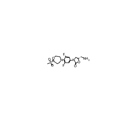 CS(=O)(=O)N1CCN(c2c(F)cc(N3C[C@H](CN)OC3=O)cc2F)CCO1